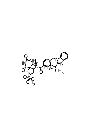 CC(C)c1nc2ccccc2n1Cc1ccc(C(=O)NC2CN(S(C)(=O)=O)CC23C(=O)NC(=O)NC3=O)cc1